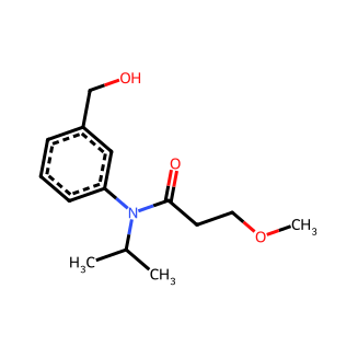 COCCC(=O)N(c1cccc(CO)c1)C(C)C